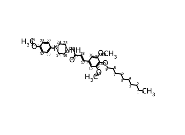 CCCCCCCCCCOc1c(OC)cc(/C=C/C(=O)NN2CCN(c3ccc(OC)cc3)CC2)cc1OC